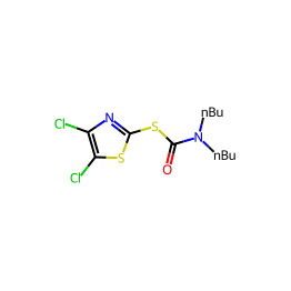 CCCCN(CCCC)C(=O)Sc1nc(Cl)c(Cl)s1